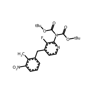 Cc1c(Cc2ccnc(N(C(=O)OC(C)(C)C)C(=O)OC(C)(C)C)c2F)cccc1[N+](=O)[O-]